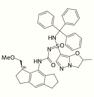 COC[C@@H]1CCc2cc3c(c(NC(=O)N=S(=O)(NC(c4ccccc4)(c4ccccc4)c4ccccc4)c4cnn5c4OC(C)C5)c21)CCC3